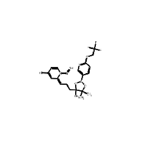 CC1(C)OB(c2ccc(OCC(F)(F)F)nc2)OC1(C)CC/C=C1/C=C(Cl)C=CN1N=N